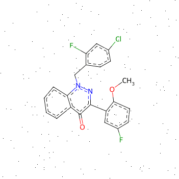 COc1ccc(F)cc1-c1nn(Cc2ccc(Cl)cc2F)c2ccccc2c1=O